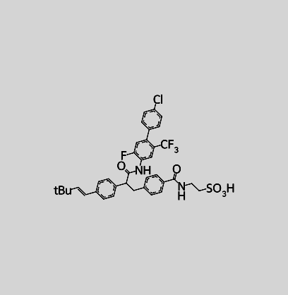 CC(C)(C)/C=C/c1ccc(C(Cc2ccc(C(=O)NCCS(=O)(=O)O)cc2)C(=O)Nc2cc(C(F)(F)F)c(-c3ccc(Cl)cc3)cc2F)cc1